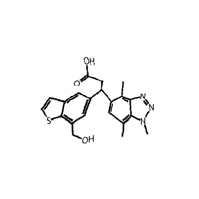 Cc1c([C@H](CC(=O)O)c2cc(CO)c3sccc3c2)cc(C)c2c1nnn2C